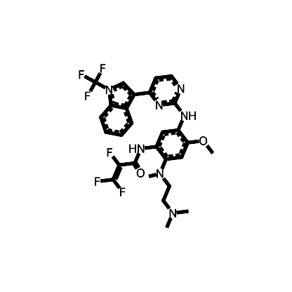 COc1cc(N(C)CCN(C)C)c(NC(=O)C(F)=C(F)F)cc1Nc1nccc(-c2cn(C(F)(F)F)c3ccccc23)n1